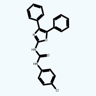 O=C(Nc1ccc(Cl)cc1)Nc1nc(-c2ccccc2)c(-c2ccccc2)o1